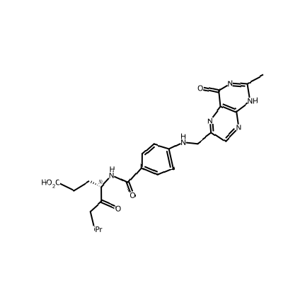 Cc1nc(=O)c2nc(CNc3ccc(C(=O)N[C@@H](CCC(=O)O)C(=O)CC(C)C)cc3)cnc2[nH]1